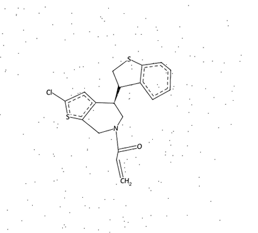 C=CC(=O)N1Cc2sc(Cl)cc2[C@@H](C2CSc3ccccc32)C1